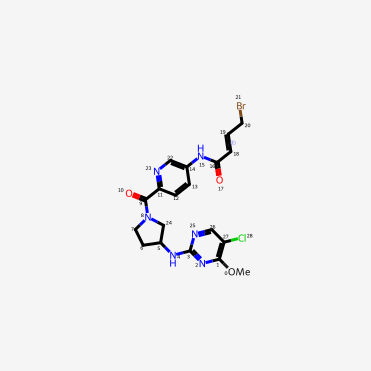 COc1nc(NC2CCN(C(=O)c3ccc(NC(=O)/C=C/CBr)cn3)C2)ncc1Cl